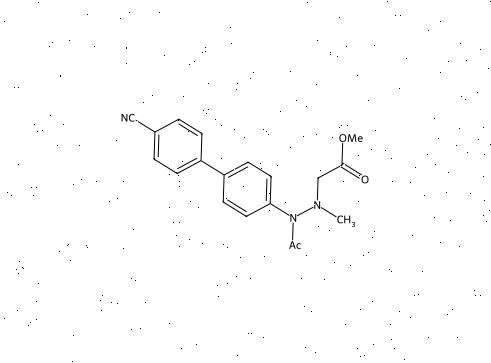 COC(=O)CN(C)N(C(C)=O)c1ccc(-c2ccc(C#N)cc2)cc1